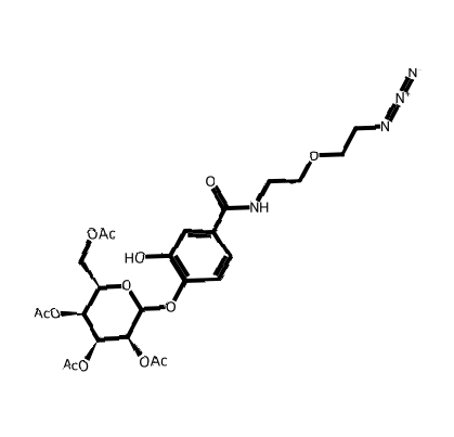 CC(=O)OC[C@H]1OC(Oc2ccc(C(=O)NCCOCCN=[N+]=[N-])cc2O)[C@@H](OC(C)=O)[C@@H](OC(C)=O)[C@H]1OC(C)=O